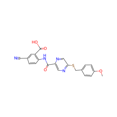 COc1ccc(CSc2cnc(C(=O)Nc3ccc(C#N)cc3C(=O)O)cn2)cc1